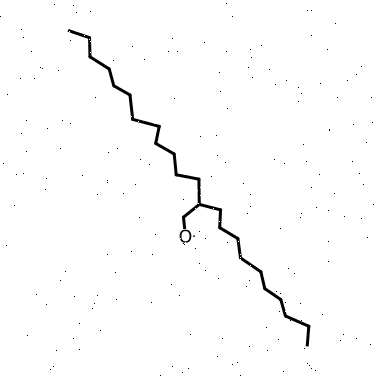 CCCCCCCCCCCCC(C[O])CCCCCCCCCC